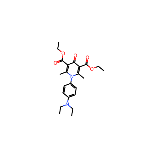 CCOC(=O)c1c(C)n(-c2ccc(N(CC)CC)cc2)c(C)c(C(=O)OCC)c1=O